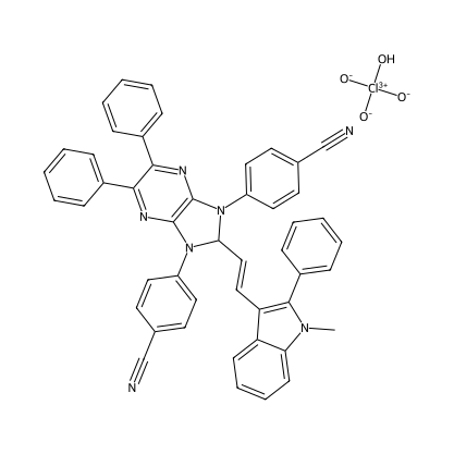 Cn1c(-c2ccccc2)c(/C=C/C2N(c3ccc(C#N)cc3)c3nc(-c4ccccc4)c(-c4ccccc4)nc3N2c2ccc(C#N)cc2)c2ccccc21.[O-][Cl+3]([O-])([O-])O